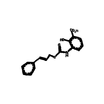 O=C(Nc1cccc(C(=O)O)c1O)OC/C=C/c1ccccc1